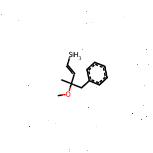 COC(C)(C=C[SiH3])Cc1ccccc1